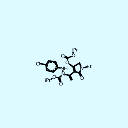 C=C(C1=C(OC(=O)OC(C)C)CN(CC)C1=O)N(Nc1ccc(Cl)cc1)C(=O)OC(C)C